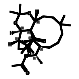 CC(=O)O[C@@H](C)[C@@H]1CCCC(C)(C)CC[C@H]2OC(C)(C)O[C@@H]3[C@H]4CC(=O)[C@@H]1[C@]32C(=O)C4(C)C